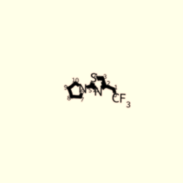 FC(F)(F)Cc1csc(N2CCCC2)n1